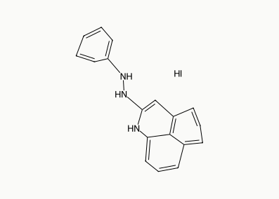 C1=C(NNc2ccccc2)Nc2cccc3cccc1c23.I